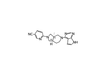 C[C@@]12CN(c3ccc(C#N)cn3)C[C@@H]1CCN(c1ncnc3[nH]ccc13)C2